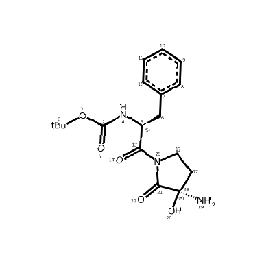 CC(C)(C)OC(=O)N[C@@H](Cc1ccccc1)C(=O)N1CC[C@@](N)(O)C1=O